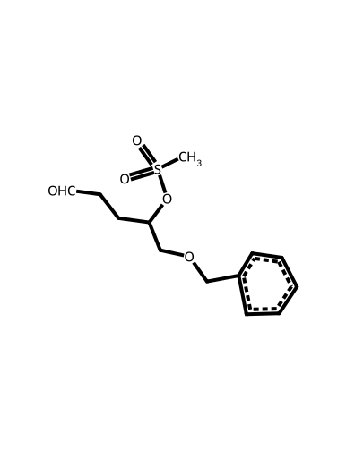 CS(=O)(=O)OC(CCC=O)COCc1ccccc1